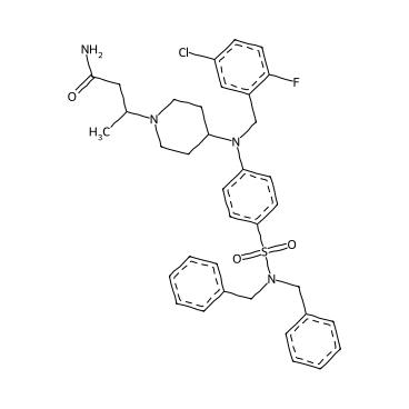 CC(CC(N)=O)N1CCC(N(Cc2cc(Cl)ccc2F)c2ccc(S(=O)(=O)N(Cc3ccccc3)Cc3ccccc3)cc2)CC1